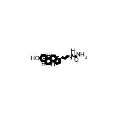 C[C@]12CC[C@H](O)C[C@H]1CC[C@@H]1[C@@H]2CC[C@]2(C)[C@@H](CC/C=N/NC(N)=O)CC[C@]12O